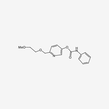 COCCOCc1ccc(OC(=O)Nc2ccccc2)cn1